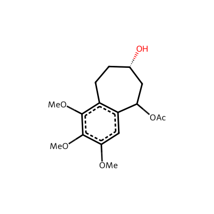 COc1cc2c(c(OC)c1OC)CC[C@H](O)CC2OC(C)=O